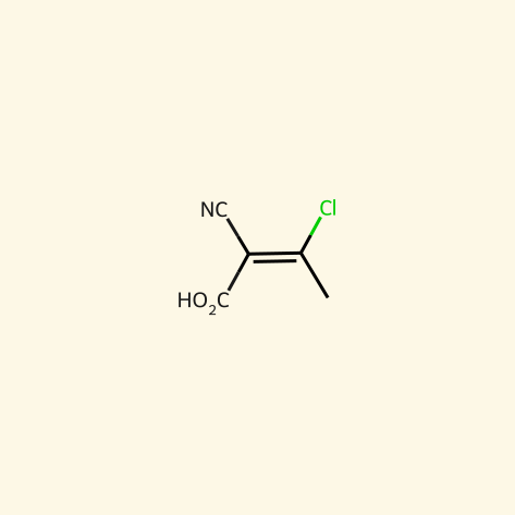 CC(Cl)=C(C#N)C(=O)O